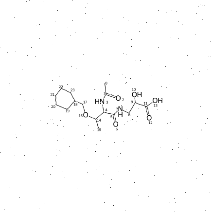 CC(=O)NC(C(=O)NCC(O)C(=O)O)C(C)OCC1CCCCC1